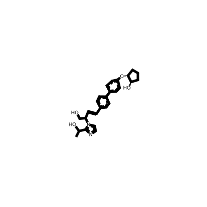 CC(O)c1nccn1C(/C=C/c1ccc(-c2ccc(O[C@@H]3CCC[C@H]3O)cc2)cc1)CO